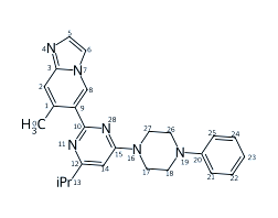 Cc1cc2nccn2cc1-c1nc(C(C)C)cc(N2CCN(c3ccccc3)CC2)n1